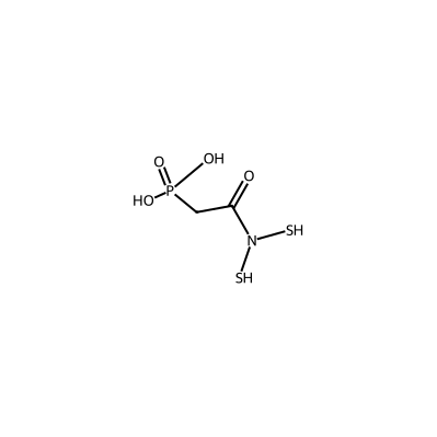 O=C(CP(=O)(O)O)N(S)S